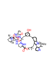 CCn1c(-c2cccnc2[C@H](C)OC)c2c3cc(ccc31)-c1cc(O)cc(c1)C[C@H](NC(=O)[C@H](C(C)C)N(C)C(=O)[C@H]1C[C@H]3CC[C@@H](C1)N3C(=O)[C@H]1CN1)C(=O)N1CCC[C@H](N1)C(=O)OCC(C)(C)C2